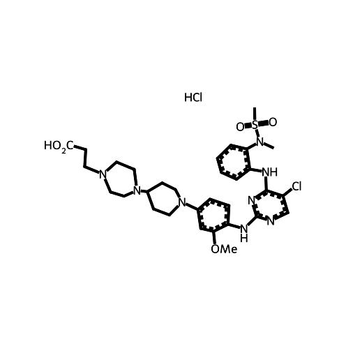 COc1cc(N2CCC(N3CCN(CCC(=O)O)CC3)CC2)ccc1Nc1ncc(Cl)c(Nc2ccccc2N(C)S(C)(=O)=O)n1.Cl